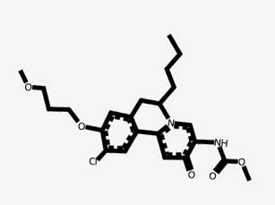 CCCCC1Cc2cc(OCCCOC)c(Cl)cc2-c2cc(=O)c(NC(=O)OC)cn21